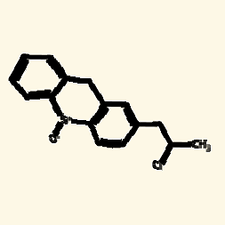 CC(Cl)Cc1ccc2c(c1)Cc1ccccc1[S+]2[O-]